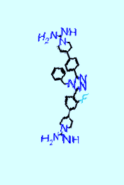 N=C(N)N1CC=C(c2ccc(-c3nnc(-c4ccc(C5=CCN(C(=N)N)CC5)cc4F)n3Cc3ccccc3)cc2)CC1